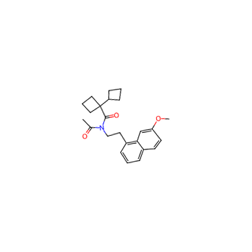 COc1ccc2cccc(CCN(C(C)=O)C(=O)C3(C4CCC4)CCC3)c2c1